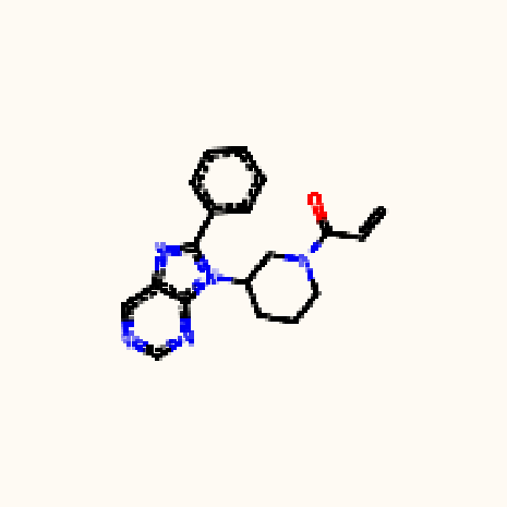 C=CC(=O)N1CCCC(n2c(-c3ccccc3)nc3cncnc32)C1